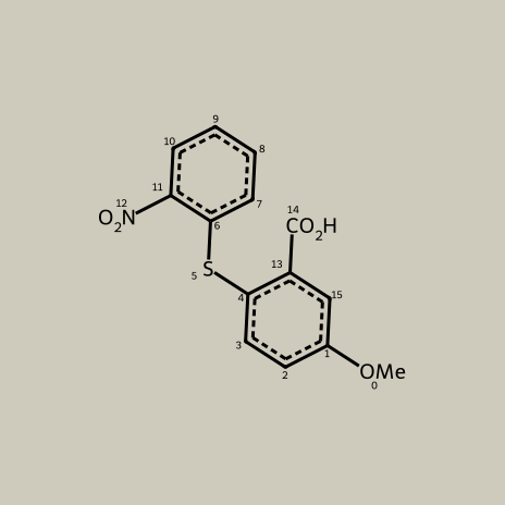 COc1ccc(Sc2ccccc2[N+](=O)[O-])c(C(=O)O)c1